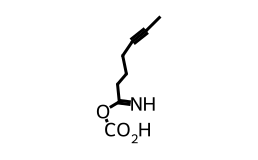 CC#CCCCC(=N)OC(=O)O